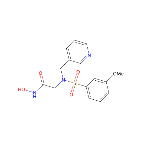 COc1cccc(S(=O)(=O)N(CC(=O)NO)Cc2cccnc2)c1